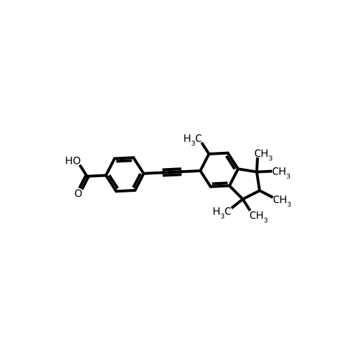 CC1C=C2C(=CC1C#Cc1ccc(C(=O)O)cc1)C(C)(C)C(C)C2(C)C